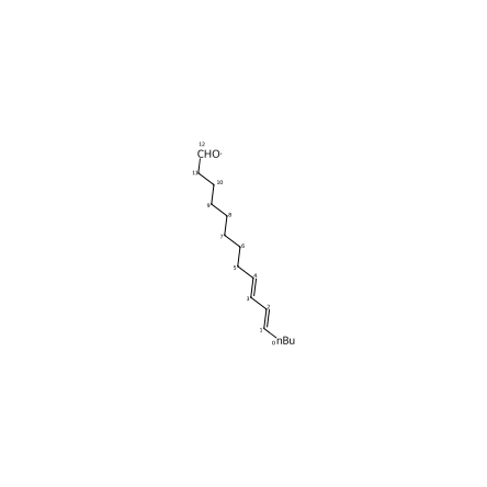 CCCCC=CC=CCCCCCCC[C]=O